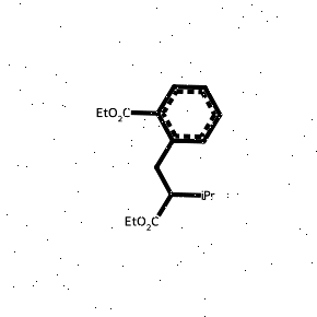 CCOC(=O)c1ccccc1CC(C(=O)OCC)C(C)C